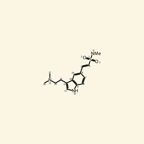 CNS(=O)(=O)/C=C/c1ccc2[nH]cc(CCN(C)C)c2c1